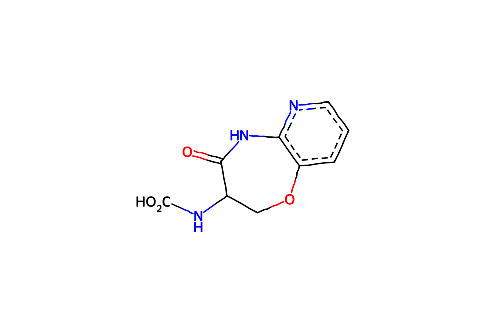 O=C(O)NC1COc2cccnc2NC1=O